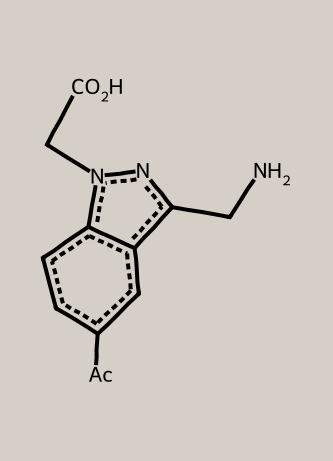 CC(=O)c1ccc2c(c1)c(CN)nn2CC(=O)O